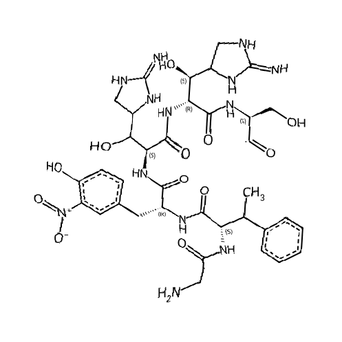 CC(c1ccccc1)[C@H](NC(=O)CN)C(=O)N[C@H](Cc1ccc(O)c([N+](=O)[O-])c1)C(=O)N[C@H](C(=O)N[C@@H](C(=O)N[C@H]([C]=O)CO)[C@@H](O)C1CNC(=N)N1)C(O)C1CNC(=N)N1